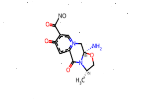 C[C@H]1CO[C@]2(N)Cn3cc(C(=O)N=O)c(=O)cc3C(=O)N12